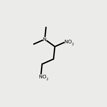 CN(C)C(CC[N+](=O)[O-])[N+](=O)[O-]